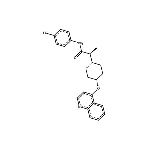 C[C@H](C(=O)Nc1ccc(Cl)cc1)[C@H]1CC[C@@H](Oc2ccnc3ccccc23)CC1